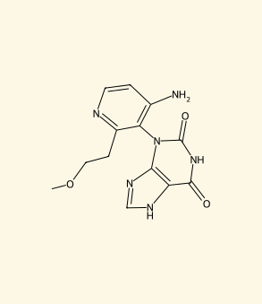 COCCc1nccc(N)c1-n1c(=O)[nH]c(=O)c2[nH]cnc21